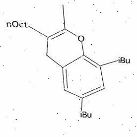 CCCCCCCCC1=C(C)Oc2c(cc(C(C)CC)cc2C(C)CC)C1